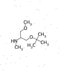 CNC(COC)COC(C)(C)C